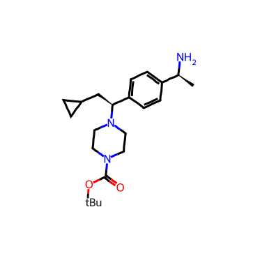 C[C@H](N)c1ccc([C@H](CC2CC2)N2CCN(C(=O)OC(C)(C)C)CC2)cc1